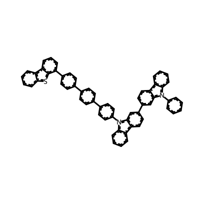 c1ccc(-n2c3ccccc3c3ccc(-c4ccc5c6ccccc6n(-c6ccc(-c7ccc(-c8ccc(-c9cccc%10c9sc9ccccc9%10)cc8)cc7)cc6)c5c4)cc32)cc1